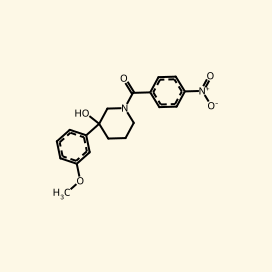 COc1cccc(C2(O)CCCN(C(=O)c3ccc([N+](=O)[O-])cc3)C2)c1